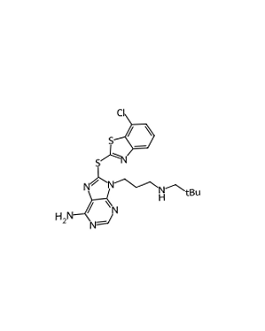 CC(C)(C)CNCCCn1c(Sc2nc3cccc(Cl)c3s2)nc2c(N)ncnc21